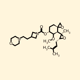 COC1[C@H](OC(=O)N2CC(CCN3CCOCC3)C2)CC[C@]2(CO2)[C@H]1[C@@]1(C)O[C@@H]1CC=C(C)C